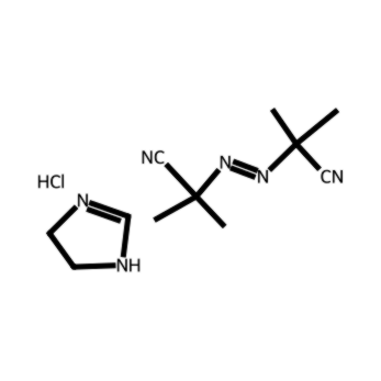 C1=NCCN1.CC(C)(C#N)N=NC(C)(C)C#N.Cl